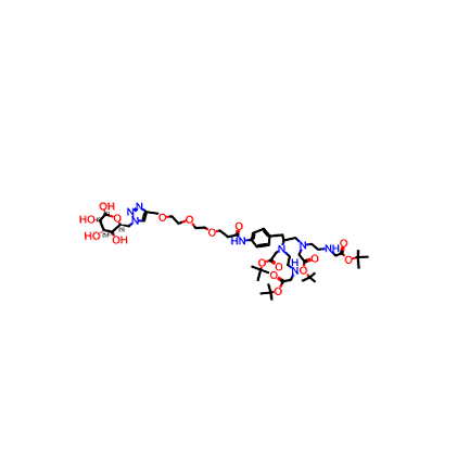 CC(C)(C)OC(=O)CNCCN(CC(=O)OC(C)(C)C)CC(Cc1ccc(NC(=O)CCOCCOCCOCc2cn(C[C@@H]3O[C@@H](O)[C@@H](O)[C@@H](O)[C@@H]3O)nn2)cc1)N(CCNCC(=O)OC(C)(C)C)CC(=O)OC(C)(C)C